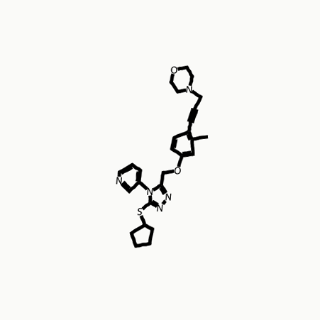 Cc1cc(OCc2nnc(SC3CCCC3)n2-c2cccnc2)ccc1C#CCN1CCOCC1